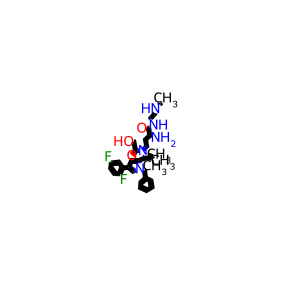 CCNCCNC(=O)[C@@H](N)CCN(C(=O)CO)[C@@H](c1cc(-c2cc(F)ccc2F)cn1Cc1ccccc1)C(C)(C)C